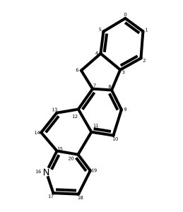 c1ccc2c(c1)Cc1c-2ccc2c1ccc1ncccc12